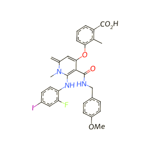 C=C1C=C(Oc2cccc(C(=O)O)c2C)C(C(=O)NCc2ccc(OC)cc2)=C(Nc2ccc(I)cc2F)N1C